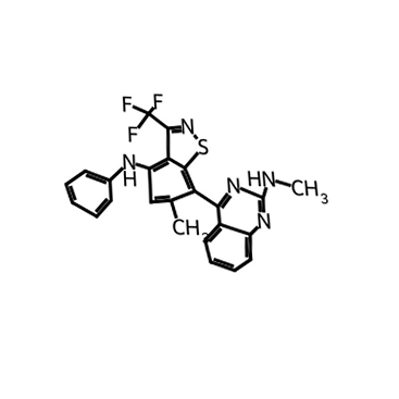 CNc1nc(-c2c(C)cc(Nc3ccccc3)c3c(C(F)(F)F)nsc23)c2ccccc2n1